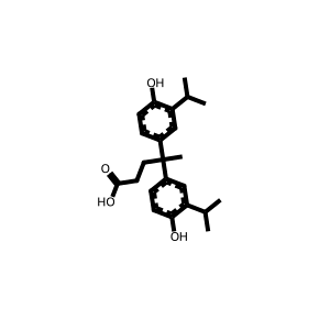 CC(C)c1cc(C(C)(CCC(=O)O)c2ccc(O)c(C(C)C)c2)ccc1O